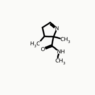 CNC(=O)C1(C)N=CCC1C